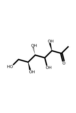 CC(=O)[C@H](O)C(O)[C@@H](O)[C@@H](O)CO